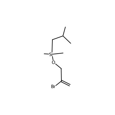 C=C(Br)CO[Si](C)(C)CC(C)C